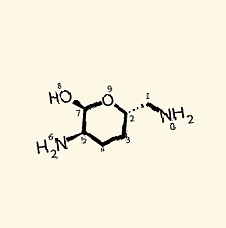 NC[C@@H]1CC[C@@H](N)[C@@H](O)O1